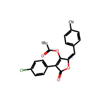 CC(C)(C)C(=O)OC1=C(c2ccc(Cl)cc2)C(=O)O/C1=C/c1ccc(C#N)cc1